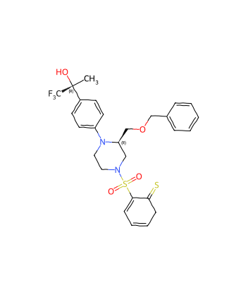 C[C@@](O)(c1ccc(N2CCN(S(=O)(=O)C3=CC=CCC3=S)C[C@@H]2COCc2ccccc2)cc1)C(F)(F)F